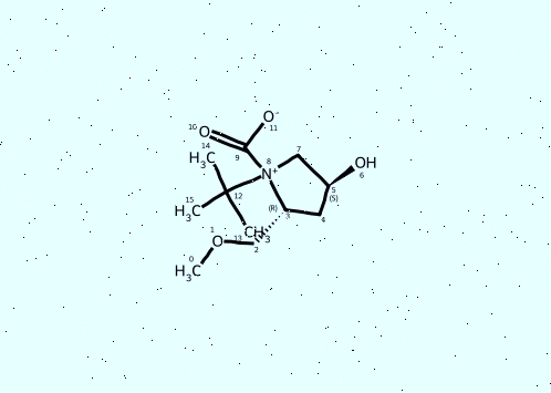 COC[C@H]1C[C@H](O)C[N+]1(C(=O)[O-])C(C)(C)C